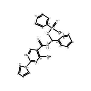 CP(=O)(O[C@H](NC(=O)c1cnc(-n2cccn2)nc1O)c1ccccc1)c1ccccc1